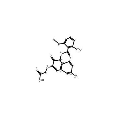 CCOc1cccc(C(=O)O)c1C(=O)On1c(=O)c(OCC(=O)NC)cc2cc(N)ccc21